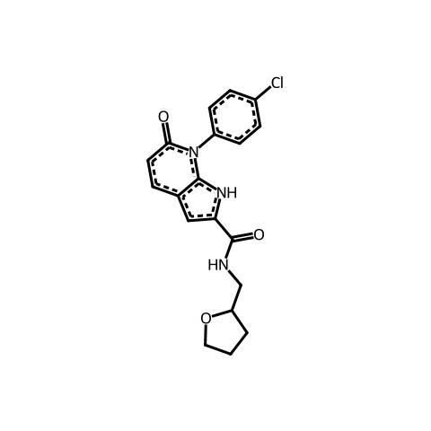 O=C(NCC1CCCO1)c1cc2ccc(=O)n(-c3ccc(Cl)cc3)c2[nH]1